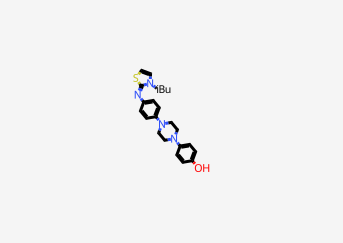 CCC(C)n1ccsc1=Nc1ccc(N2CCN(c3ccc(O)cc3)CC2)cc1